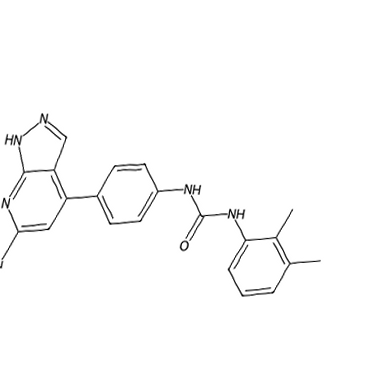 Cc1cccc(NC(=O)Nc2ccc(-c3cc(C(C)(C)C)nc4[nH]ncc34)cc2)c1C